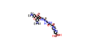 CCN(CC)c1ccc2c(c1)Oc1cc(N(CC)CC)ccc1C21OC(=O)c2cc(CNC(=S)NCCNC(=O)CCC(=O)N3CCN(c4ccc(B(O)O)cn4)CC3)ccc21